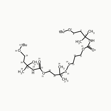 CC(C)(CCOC(C)(C)C)NC(=O)OCCCSSC(C)(C)CCOC(=O)NC(C)(C)CCOC(C)(C)C